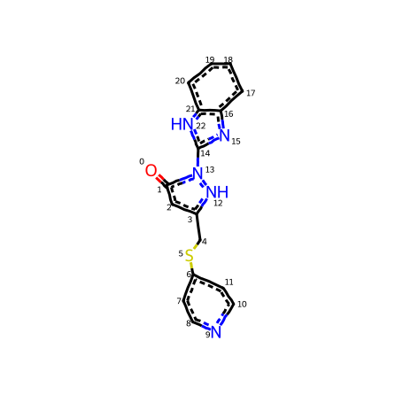 O=c1cc(CSc2ccncc2)[nH]n1-c1nc2ccccc2[nH]1